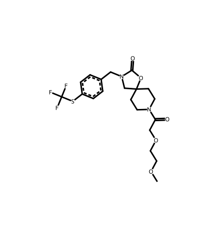 COCCOCC(=O)N1CCC2(CC1)CN(Cc1ccc(SC(F)(F)F)cc1)C(=O)O2